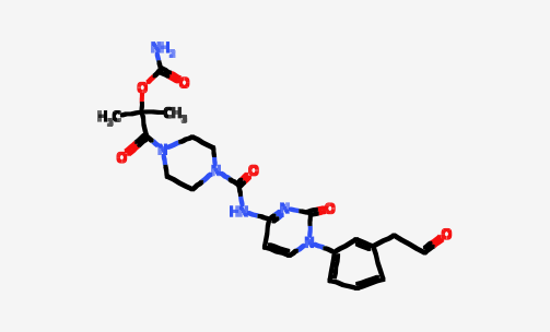 CC(C)(OC(N)=O)C(=O)N1CCN(C(=O)Nc2ccn(-c3cccc(CC=O)c3)c(=O)n2)CC1